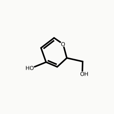 OCC1C=C(O)C=CO1